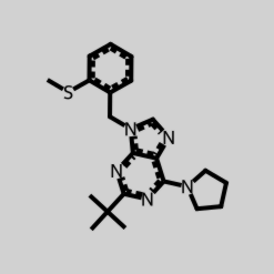 CSc1ccccc1Cn1cnc2c(N3CCCC3)nc(C(C)(C)C)nc21